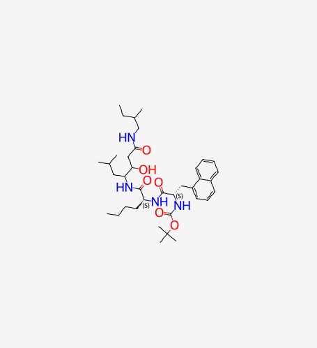 CCCC[C@H](NC(=O)[C@H](Cc1cccc2ccccc12)NC(=O)OC(C)(C)C)C(=O)NC(CC(C)C)C(O)CC(=O)NCC(C)CC